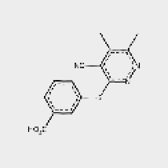 Cc1nnc(Sc2cccc(C(=O)O)c2)c(C#N)c1C